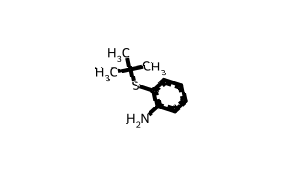 CC(C)(C)Sc1ccccc1N